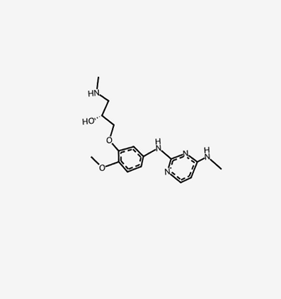 CNC[C@@H](O)COc1cc(Nc2nccc(NC)n2)ccc1OC